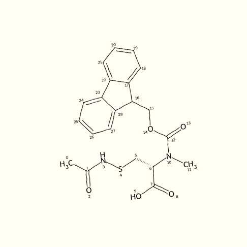 CC(=O)NSC[C@@H](C(=O)O)N(C)C(=O)OCC1c2ccccc2-c2ccccc21